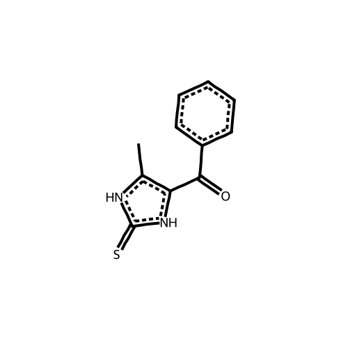 Cc1[nH]c(=S)[nH]c1C(=O)c1ccccc1